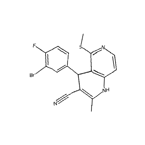 CSc1nccc2c1C(c1ccc(F)c(Br)c1)C(C#N)=C(C)N2